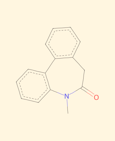 CN1C(=O)Cc2ccccc2-c2ccccc21